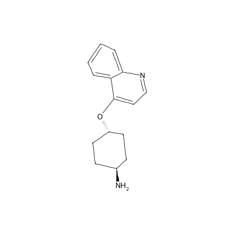 N[C@H]1CC[C@H](Oc2ccnc3ccccc23)CC1